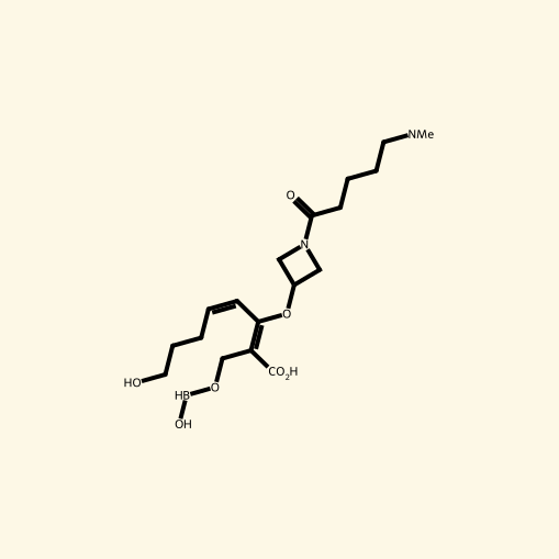 CNCCCCC(=O)N1CC(OC(/C=C\CCCO)=C(/COBO)C(=O)O)C1